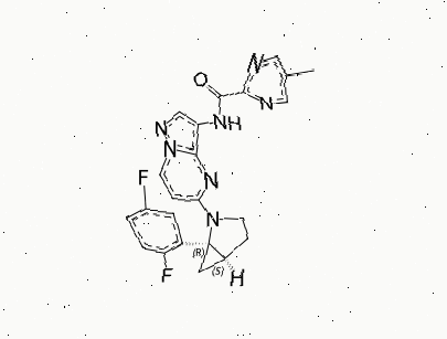 Cc1cnc(C(=O)Nc2cnn3ccc(N4CC[C@H]5C[C@]54c4cc(F)ccc4F)nc23)nc1